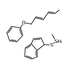 CC=CC=CCOc1ccccc1.C[SiH](C)[Ti][CH]1C=Cc2ccccc21